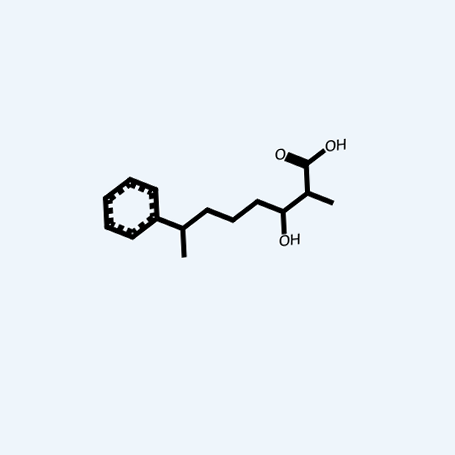 CC(CCCC(O)C(C)C(=O)O)c1ccccc1